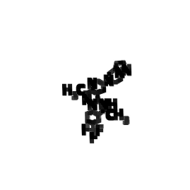 Cc1nnc(N[C@H](C)c2cccc(C(F)(F)F)c2)c2cc(N3CCn4nccc4C3)cnc12